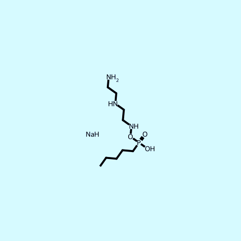 CCCCCP(=O)(O)ONCCNCCN.[NaH]